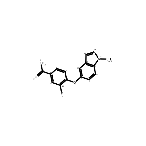 CC(=O)c1ccc(Oc2ccc3c(cnn3C)c2)c(F)c1